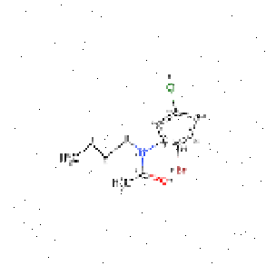 CCCCN(C(C)=O)c1cc(Cl)ccc1Br